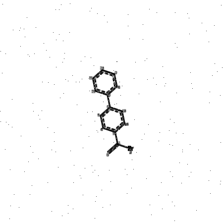 C=C(Br)c1ccc(-c2ccccc2)cc1